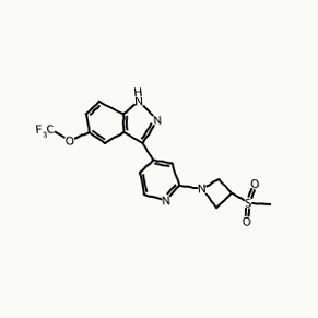 CS(=O)(=O)C1CN(c2cc(-c3n[nH]c4ccc(OC(F)(F)F)cc34)ccn2)C1